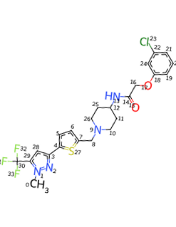 Cn1nc(-c2ccc(CN3CCC(NC(=O)COc4cccc(Cl)c4)CC3)s2)cc1C(F)(F)F